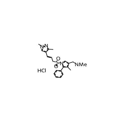 CNCc1cn(S(=O)(=O)CC=Cc2cn(C)nc2C)c(-c2ccccc2)c1C.Cl